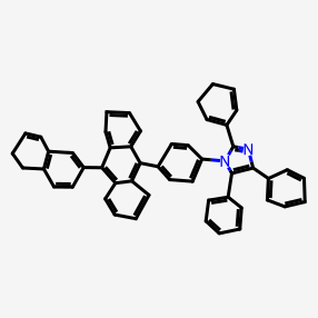 C1=CC(c2nc(-c3ccccc3)c(-c3ccccc3)n2-c2ccc(-c3c4ccccc4c(-c4ccc5c(c4)C=CCC5)c4ccccc34)cc2)=CCC1